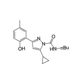 CCCCNC(=O)n1nc(-c2cc(C)ccc2O)cc1C1CC1